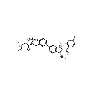 CC[C@H](C)CC(=O)N(Cc1cccc(-c2ccc3c(N)c(C(=O)c4ccc(Cl)cc4Cl)oc3c2)c1)S(C)(=O)=O